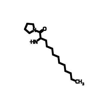 CCCCCCCCCCCC([NH])C(=O)N1CCCC1